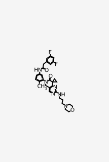 Cc1ccc(NC(=O)Cc2cc(F)cc(F)c2)cc1N1Cc2cnc(NCCCN3CCOCC3)nc2C2(CC2)C1=O